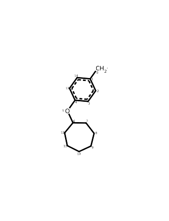 [CH2]c1ccc(OC2CCCCCC2)cc1